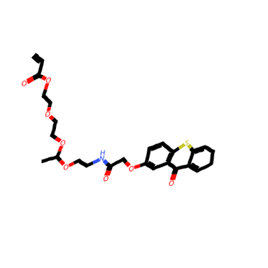 C=CC(=O)OCCOCCOC(C)OCCNC(=O)COc1ccc2sc3c(c(=O)c2c1)=CCCC=3